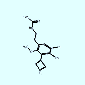 COc1c(CCNC(=O)O)cc(Cl)c(Cl)c1C1CNC1